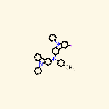 Cc1ccc(N(c2ccc3c(c2)c2ccccc2n3-c2ccccc2)c2ccc3c(c2)c2cc(I)ccc2n3-c2ccccc2)cc1